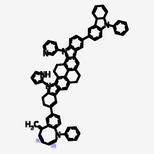 C=C1/C=C\C=C/N(c2ccccc2)c2ccc(C3=Cc4c(n(-c5ccc[nH]5)c5c6c7c(cc45)CCc4cc5c8cc(-c9ccc%10c(c9)C9C=CC=CC9N%10c9ccccc9)ccc8n(-c8cccnc8)c5c(c4-7)CC6)CC3)cc21